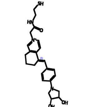 O=C(C[n+]1ccc2c(c1)CCC/C2=C\c1ccc(N2CC(O)C(O)C2)cc1)NCCS